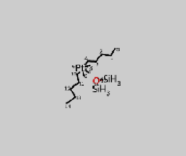 CCCC[CH2][Pt]([CH3])([CH3])([CH3])([CH3])[CH2]CCCC.[SiH3]O[SiH3]